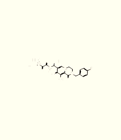 CC(c1cn2c(c(O)c1=O)C(=O)N(Cc1ccc(F)cc1)CC2)N(C)C(=O)C(=O)N(C)C